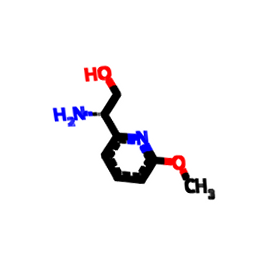 COc1cccc([C@H](N)CO)n1